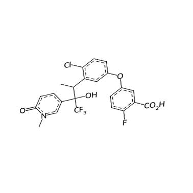 CC(c1cc(Oc2ccc(F)c(C(=O)O)c2)ccc1Cl)C(O)(c1ccc(=O)n(C)c1)C(F)(F)F